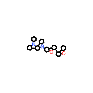 c1ccc(-n2c3ccccc3c3ccc4c(c5ccccc5n4-c4ccc5oc6c(-c7cccc8oc9ccccc9c78)cccc6c5c4)c32)cc1